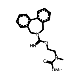 COC(=O)N(C)CCOC(=N)N1Cc2ccccc2-c2ccccc2C1